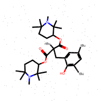 CCCCC(Cc1cc(C(C)(C)C)cc(C(C)(C)C)c1O)(C(=O)OC1CCC(C)(C)N(C)C1(C)C)C(=O)OC1CCC(C)(C)N(C)C1(C)C